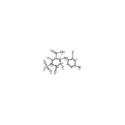 Cc1c(C(=O)O)c(Nc2ccc(Br)cc2F)c(F)c(=O)n1S(C)(=O)=O